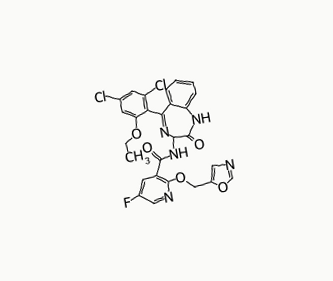 CCOc1cc(Cl)cc(Cl)c1C1=NC(NC(=O)c2cc(F)cnc2OCc2cnco2)C(=O)Nc2ccccc21